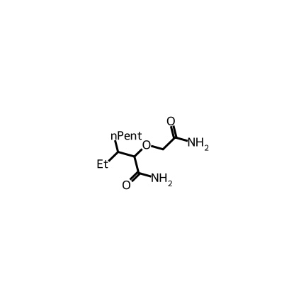 CCCCCC(CC)C(OCC(N)=O)C(N)=O